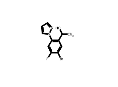 CC(O)c1cc(Br)c(F)cc1-n1cccn1